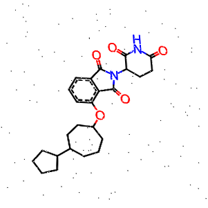 O=C1CCC(N2C(=O)c3cccc(OC4CCCC(C5CCCC5)CC4)c3C2=O)C(=O)N1